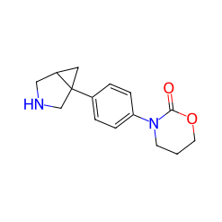 O=C1OCCCN1c1ccc(C23CNCC2C3)cc1